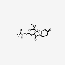 COC(=O)NCCCCC(NC(=O)OC)C(=O)N1CCC(=O)CC1